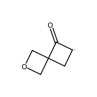 O=C1[CH]CC12COC2